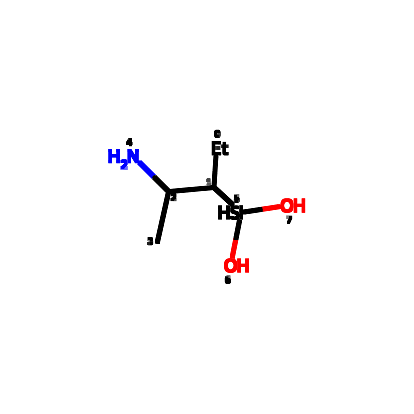 CCC(C(C)N)[SiH](O)O